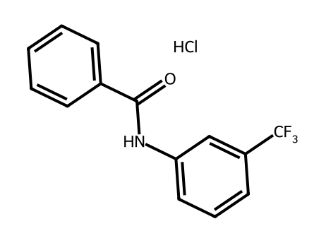 Cl.O=C(Nc1cccc(C(F)(F)F)c1)c1ccccc1